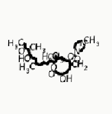 C=C1CCC(O)CC(=O)OC(/C(C)=C/C=C/C(C)CC2OC2C(C)C(O)CC)C(C)/C=C/C1OC(=O)N1CCCN(C)CC1